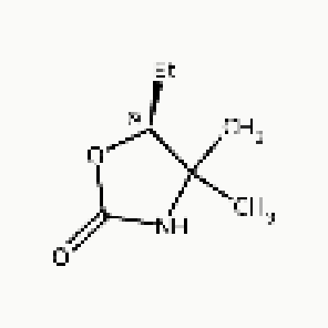 CC[C@@H]1OC(=O)NC1(C)C